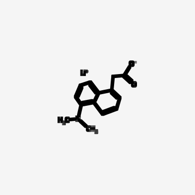 CN(C)c1cccc2c(CC(=O)[O-])cccc12.[Li+]